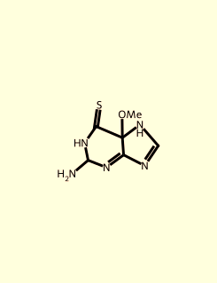 COC12NC=NC1=NC(N)NC2=S